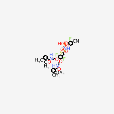 CC(=O)Oc1c(C)cccc1C(=O)NCCOc1c(OCCNC(=O)c2cccc(C)c2C)c(F)c2sc(S(=O)(=O)NCP(=O)(O)Oc3ccc(C#N)c(F)c3)cc2c1F